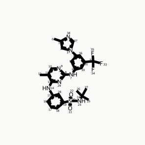 Cc1cn(-c2cc(Nc3ncc(C)c(Nc4cccc(S(=O)(=O)NC(C)(C)C)c4)n3)cc(C(F)(F)F)c2)cn1